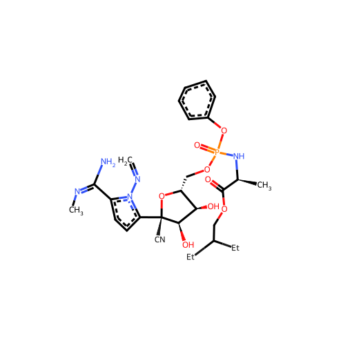 C=Nn1c(/C(N)=N\C)ccc1[C@]1(C#N)O[C@H](COP(=O)(N[C@@H](C)C(=O)OCC(CC)CC)Oc2ccccc2)[C@@H](O)[C@H]1O